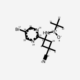 CC1(C#N)CC(N[S+]([O-])C(C)(C)C)(c2ncc(Br)cn2)C1